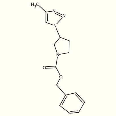 Cc1cn(C2CCN(C(=O)OCc3ccccc3)C2)nn1